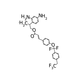 [CH2]C(COC(=O)/C=C/c1ccc(OC(F)(F)c2ccc(CC(F)(F)F)cc2)cc1)c1ccc(N)cc1N